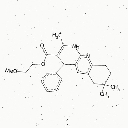 COCCOC(=O)C1=C(C)Nc2nc3c(cc2C1c1ccccc1)CC(C)(C)CC3